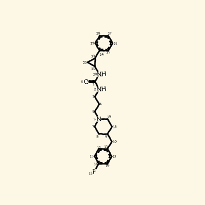 O=C(NCCCN1CCC(Cc2ccc(F)cc2)CC1)NC1CC1c1ccccc1